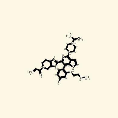 C=CC(=O)N1CCc2nc(-c3nc(N4CCN(C(C)C)CC4)c4ccsc4c3-c3ccc(F)cc3OCCOC)sc2C1